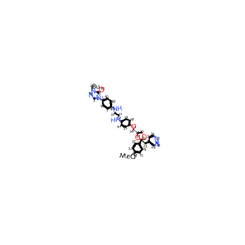 CCC(C)n1ncn(-c2ccc(NCCNc3ccc(OC[C@@H]4CO[C@](Cc5ccnnc5)(c5ccc(OC)cc5)O4)cc3)cc2)c1=O